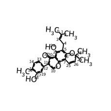 CC(C)=CCc1c2c(c3occ(-c4ccc(C)c(O)c4)c(=O)c3c1O)C=CC(C)(C)O2